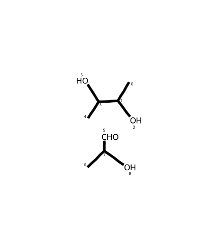 CC(O)C(C)O.CC(O)C=O